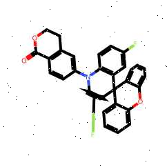 O=C1OCCc2cc(N3c4ccc(F)cc4C4(c5ccccc5Oc5ccccc54)c4cc(F)ccc43)ccc21